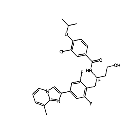 Cc1cccn2cc(-c3cc(F)c(C[C@@H](CCO)NC(=O)c4ccc(OC(C)C)c(Cl)c4)c(F)c3)nc12